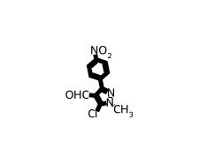 Cn1nc(-c2ccc([N+](=O)[O-])cc2)c(C=O)c1Cl